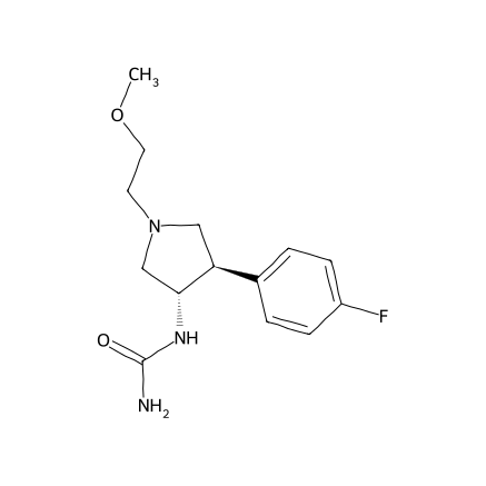 COCCN1C[C@@H](NC(N)=O)[C@H](c2ccc(F)cc2)C1